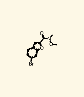 CON(C)C(=O)c1cc2ccc(Br)cc2o1